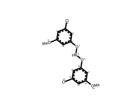 COc1cc(Cl)cc(OBOc2cc(Cl)cc(OC)c2)c1